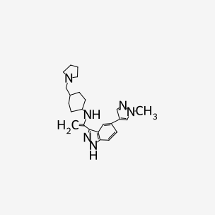 C=C(NC1CCC(CN2CCCC2)CC1)c1n[nH]c2ccc(-c3cnn(C)c3)cc12